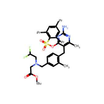 Cc1cc(CN(CC(=O)OC(C)(C)C)CC(F)F)ccc1Cc1c(C)nc(N)nc1OS(=O)(=O)c1c(C(C)C)cc(C(C)C)cc1C(C)C